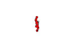 CC1(C)C(Cc2ccc(OCc3ccccc3)cc2)OC(=O)C(=O)C1OC(=O)C(=O)OC(Cc1ccc(OCc2ccccc2)cc1)c1ccccc1